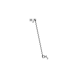 CCCCCCCCCCCCCCCCCCCCCCCCCCCCCCCCCN